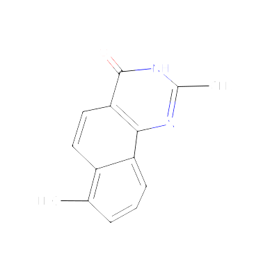 Cc1nc2c(ccc3c(C)cccc32)c(=O)[nH]1